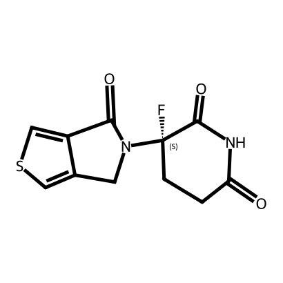 O=C1CC[C@@](F)(N2Cc3cscc3C2=O)C(=O)N1